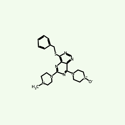 CN1CCN(c2nc(N3CC[S+]([O-])CC3)c3ncnc(SCc4ccccc4)c3n2)CC1